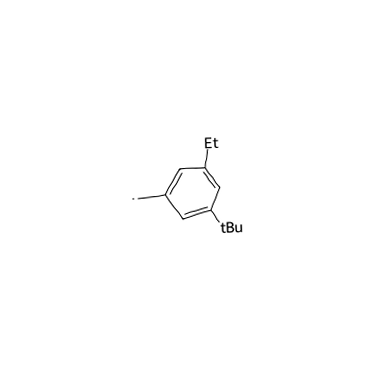 [CH2]c1cc(CC)cc(C(C)(C)C)c1